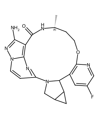 C[C@@H]1CCOc2ncc(F)cc2C2C3CC3CN2c2ccn3nc(N)c(c3n2)C(=O)N1